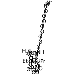 CCc1c2c(nc3ccc(OB(C)O)cc13)-c1cc3c(c(=O)n1C2)COC(=O)C3(CC)OC(=O)OCC(NC(=O)COCC(=O)NCCOCCOCCOCCOCCOCCOCCOCCOCCN=[N+]=[N-])C(C)C